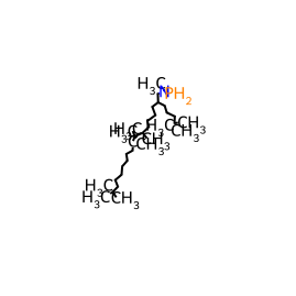 CN(P)CC(CCCCC(C)(C)C(C)(C)CCCCCCCCC(C)(C)C)CCCC(C)(C)C